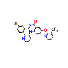 O=c1ncn(-c2cccnc2-c2ccc(Br)cc2)c2ccc(Oc3ncccc3C(F)(F)F)cc12